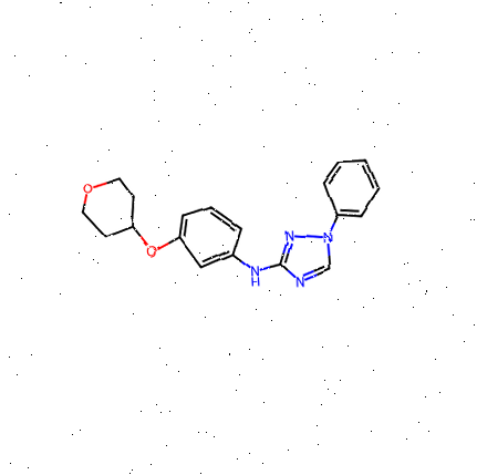 c1ccc(-n2cnc(Nc3cccc(OC4CCOCC4)c3)n2)cc1